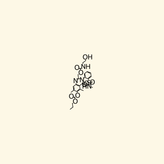 CCCOC(=O)Oc1c(C)cc2nc(COC(=O)NCCO)n(-c3ccccc3S(=O)(=O)NC)c(=O)c2c1C